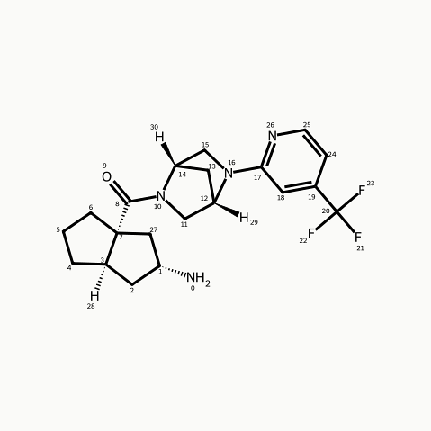 N[C@@H]1C[C@H]2CCC[C@@]2(C(=O)N2C[C@@H]3C[C@H]2CN3c2cc(C(F)(F)F)ccn2)C1